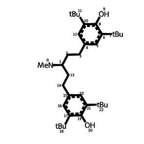 CNC(CCc1cc(C(C)(C)C)c(O)c(C(C)(C)C)c1)CCc1cc(C(C)(C)C)c(O)c(C(C)(C)C)c1